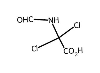 O=CNC(Cl)(Cl)C(=O)O